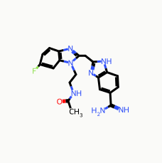 CC(=O)NCCn1c(Cc2nc3cc(C(=N)N)ccc3[nH]2)nc2ccc(F)cc21